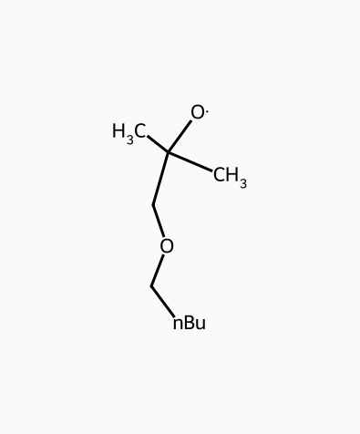 CCCCCOCC(C)(C)[O]